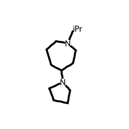 CC(C)N1CCCC(N2CCCC2)CC1